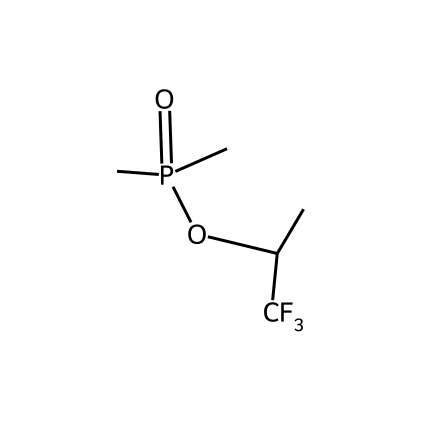 CC(OP(C)(C)=O)C(F)(F)F